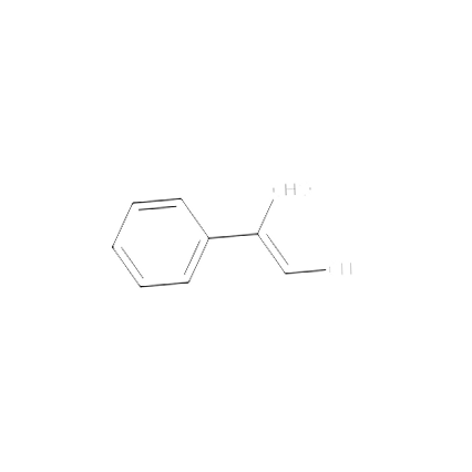 C/C=C(\C=O)c1ccccc1